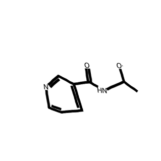 CC([O])NC(=O)c1cccnc1